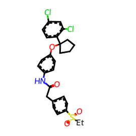 CCS(=O)(=O)c1ccc(CC(=O)Nc2ccc(OC3(c4ccc(Cl)cc4Cl)CCCC3)cc2)cc1